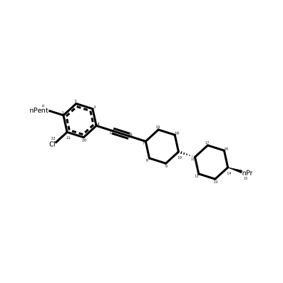 CCCCCc1ccc(C#CC2CCC([C@H]3CC[C@H](CCC)CC3)CC2)cc1Cl